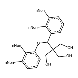 CCCCCCCCCc1cccc(OC(c2cccc(CCCCCCCCC)c2CCCCCCCCC)C(CO)(CO)CO)c1CCCCCCCCC